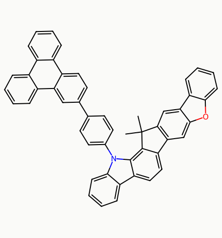 CC1(C)c2cc3c(cc2-c2ccc4c5ccccc5n(-c5ccc(-c6ccc7c8ccccc8c8ccccc8c7c6)cc5)c4c21)oc1ccccc13